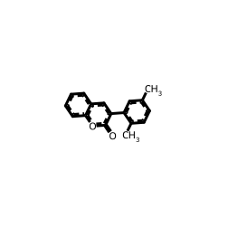 Cc1ccc(C)c(-c2cc3ccccc3oc2=O)c1